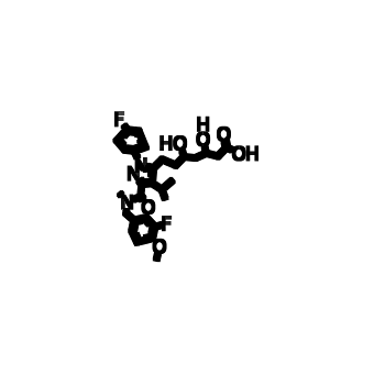 COc1ccc(CN(C)C(=O)c2nn(-c3ccc(F)cc3)c(CCC(O)CC(O)CC(=O)O)c2C(C)C)cc1F